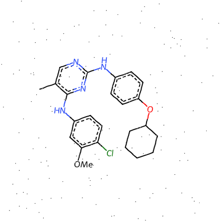 COc1cc(Nc2nc(Nc3ccc(OC4CCCCC4)cc3)ncc2C)ccc1Cl